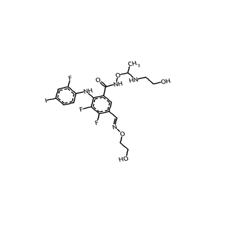 CC(NCCO)ONC(=O)c1cc(C=NOCCO)c(F)c(F)c1Nc1ccc(I)cc1F